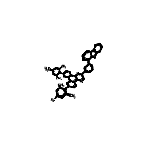 Cc1cc(C)c(-c2ccc3c(c2)c2cc(-c4c(C)cc(C)cc4C)ccc2c2nc(-c4cccc(-c5cccc6c5oc5ccccc56)c4)cnc32)c(C)c1